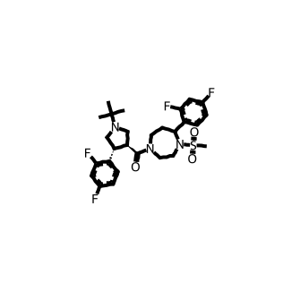 CC(C)(C)N1C[C@@H](C(=O)N2CCC(c3ccc(F)cc3F)N(S(C)(=O)=O)CC2)[C@H](c2ccc(F)cc2F)C1